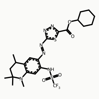 CC1CC(C)(C)N(C)c2cc(NS(=O)(=O)C(F)(F)F)c(N=Nc3nnc(C(=O)OC4CCCCC4)s3)cc21